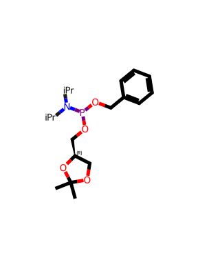 CC(C)N(C(C)C)P(OCc1ccccc1)OC[C@H]1COC(C)(C)O1